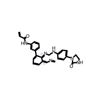 C=CC(=O)Nc1cccc(C2=CC=CC(=C/N=C)/C2=N\CNc2ccc(N3CCNC3=O)cc2)c1